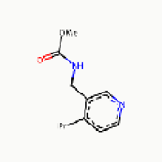 COC(=O)NCc1cnccc1C(C)C